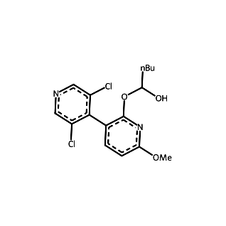 CCCCC(O)Oc1nc(OC)ccc1-c1c(Cl)cncc1Cl